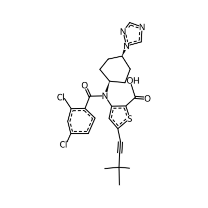 CC(C)(C)C#Cc1cc(N(C(=O)c2ccc(Cl)cc2Cl)[C@H]2CC[C@@H](n3cncn3)CC2)c(C(=O)O)s1